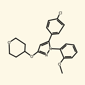 COc1ccccc1-n1nc(OC2CCOCC2)cc1-c1ccc(Cl)cc1